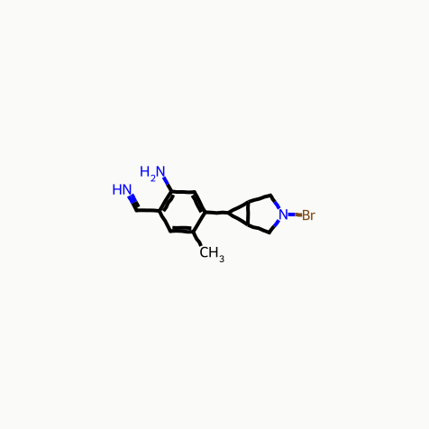 Cc1cc(C=N)c(N)cc1C1C2CN(Br)CC21